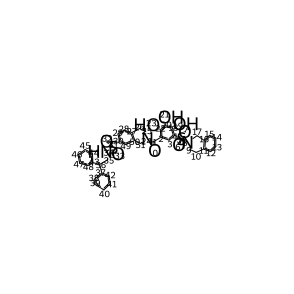 O=C(c1cc(S(=O)(=O)N2CCc3ccccc3C2)c(O)c(O)c1O)N1CCc2ccc(S(=O)(=O)NCC(c3ccccc3)c3ccccc3)cc2C1